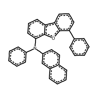 c1ccc(-c2cccc3c2oc2c(N(c4ccccc4)c4ccc5ccccc5c4)cccc23)cc1